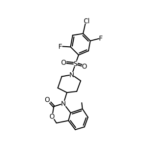 Cc1cccc2c1N(C1CCN(S(=O)(=O)c3cc(F)c(Cl)cc3F)CC1)C(=O)OC2